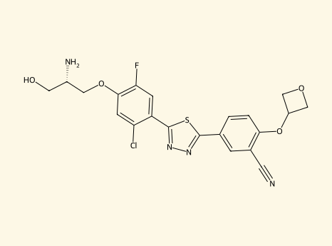 N#Cc1cc(-c2nnc(-c3cc(F)c(OC[C@@H](N)CO)cc3Cl)s2)ccc1OC1COC1